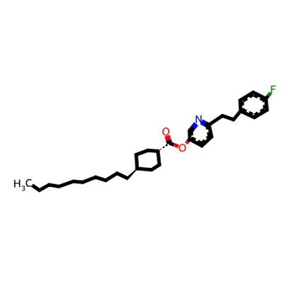 CCCCCCCCCC[C@H]1CC[C@H](C(=O)Oc2ccc(CCc3ccc(F)cc3)nc2)CC1